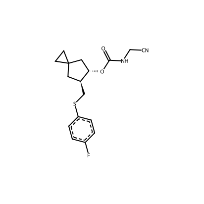 N#CCNC(=O)O[C@H]1CC2(CC2)C[C@@H]1CSc1ccc(F)cc1